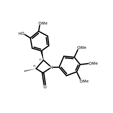 COc1ccc([C@@H]2[C@@H](C)C(=O)N2c2cc(OC)c(OC)c(OC)c2)cc1O